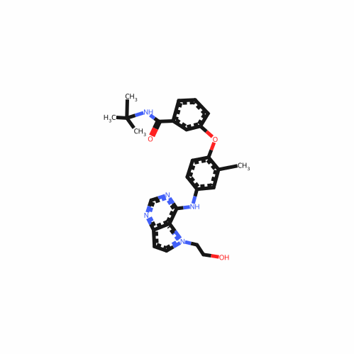 Cc1cc(Nc2ncnc3ccn(CCO)c23)ccc1Oc1cccc(C(=O)NC(C)(C)C)c1